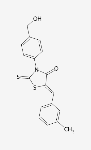 Cc1cccc(/C=C2\SC(=S)N(c3ccc(CO)cc3)C2=O)c1